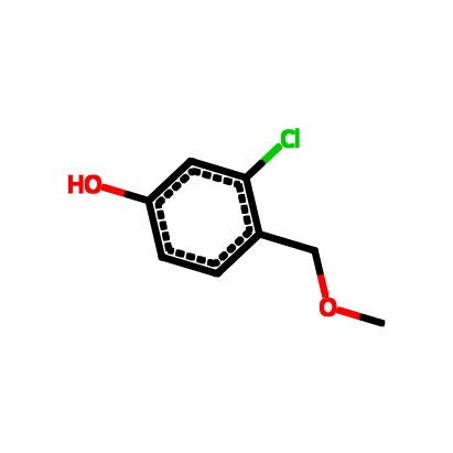 COCc1ccc(O)cc1Cl